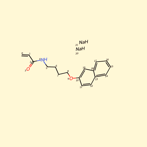 C=CC(=O)NCCCCOc1ccc2ccccc2c1.[NaH].[NaH]